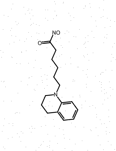 O=NC(=O)CCCCCN1CCCc2ccccc21